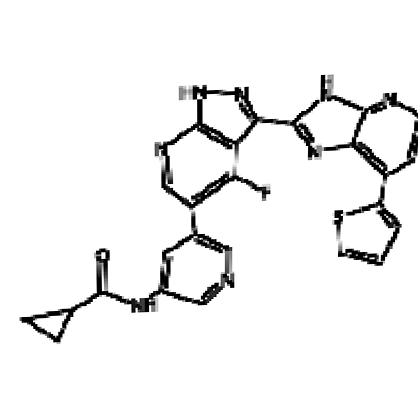 O=C(Nc1cncc(-c2cnc3[nH]nc(-c4nc5c(-c6cccs6)ccnc5[nH]4)c3c2F)c1)C1CC1